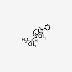 CC(C)NCCC1(C)OCCc2nc(-c3ccccc3)sc21